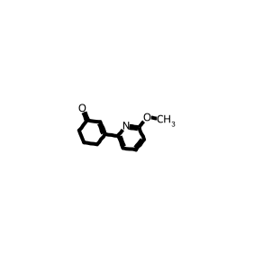 COc1cccc(C2=CC(=O)CCC2)n1